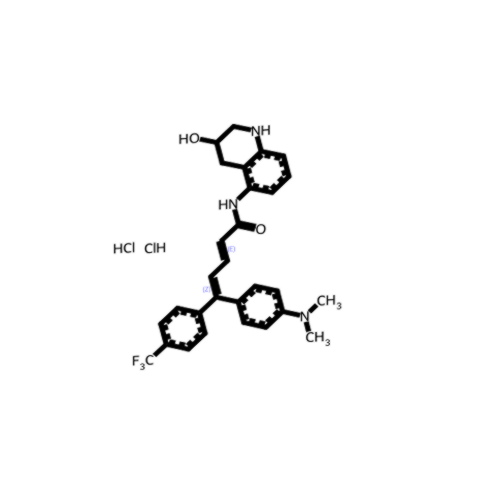 CN(C)c1ccc(/C(=C\C=C\C(=O)Nc2cccc3c2CC(O)CN3)c2ccc(C(F)(F)F)cc2)cc1.Cl.Cl